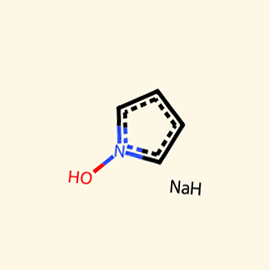 On1cccc1.[NaH]